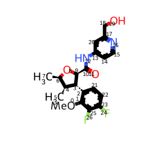 COc1c([C@@H]2[C@H](C)[C@@H](C)O[C@H]2C(=O)Nc2ccnc(CO)c2)ccc(F)c1F